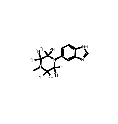 [2H]C1([2H])N(C)C([2H])([2H])C([2H])([2H])N(c2ccc3[nH]cnc3c2)C1([2H])[2H]